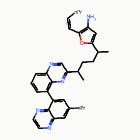 CCC/C=C\c1oc(C(C)CCC(C)c2cnc3cccc(-c4cc(C(C)C)cc5nccnc45)c3n2)cc1N